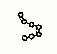 c1cncc(-c2ccc(-c3cccc4c3sc3c(-c5ccc(-c6ccc7oc8ccccc8c7c6)cc5)cccc34)cc2)c1